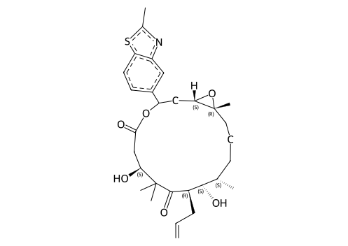 C=CC[C@H]1C(=O)C(C)(C)[C@@H](O)CC(=O)OC(c2ccc3sc(C)nc3c2)C[C@@H]2O[C@]2(C)CCC[C@H](C)[C@@H]1O